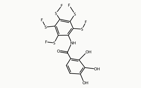 O=C(Nc1c(SF)c(SF)c(SF)c(SF)c1SF)c1ccc(O)c(O)c1O